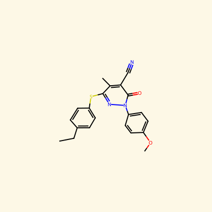 CCc1ccc(Sc2nn(-c3ccc(OC)cc3)c(=O)c(C#N)c2C)cc1